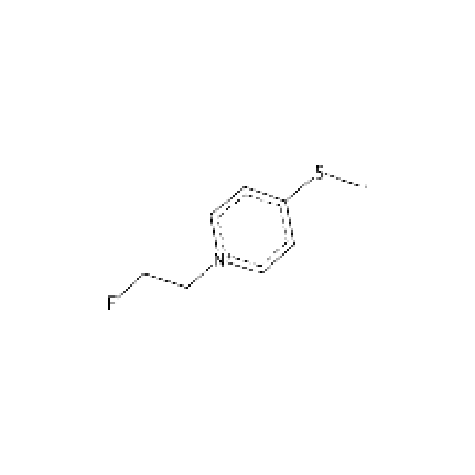 [CH2]Sc1cc[n+](CCF)cc1